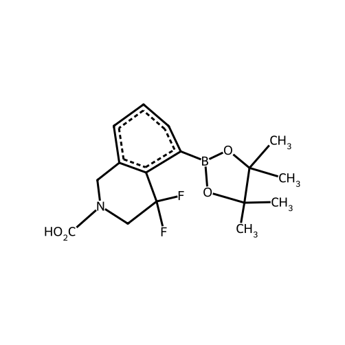 CC1(C)OB(c2cccc3c2C(F)(F)CN(C(=O)O)C3)OC1(C)C